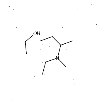 CCC(C)N(C)CC.CCO